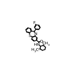 C[C@@H]1CCC[C@H](C)C1NC(=O)c1ccc2c(c1)N=C(c1cccc(F)c1)c1ccccc1S2